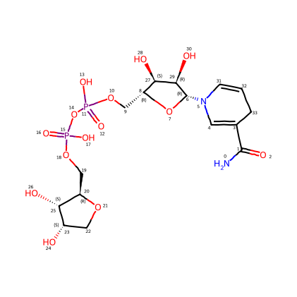 NC(=O)C1=CN([C@@H]2O[C@H](COP(=O)(O)OP(=O)(O)OC[C@H]3OC[C@H](O)[C@@H]3O)[C@@H](O)[C@H]2O)C=CC1